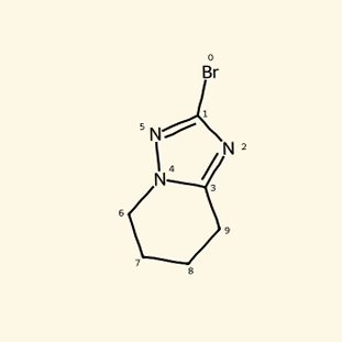 Brc1nc2n(n1)CCCC2